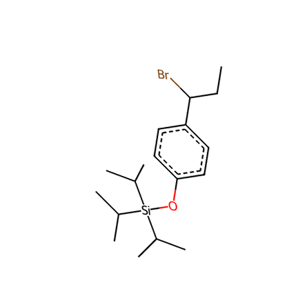 CCC(Br)c1ccc(O[Si](C(C)C)(C(C)C)C(C)C)cc1